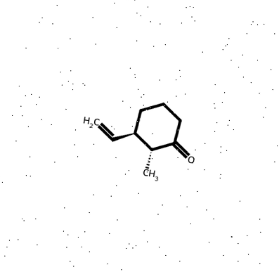 C=C[C@H]1CCCC(=O)[C@@H]1C